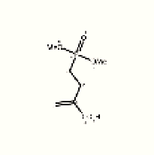 C=C(CCP(=O)(OC)OC)C(=O)O